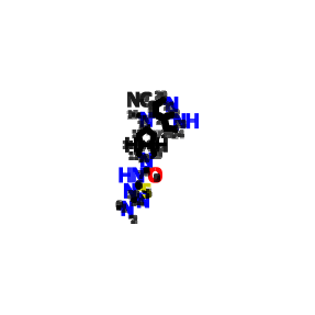 CN(C)c1nsc(NC(=O)N2C[C@H]3C[C@H](N(C)c4c(C#N)cnc5[nH]ccc45)C[C@H]3C2)n1